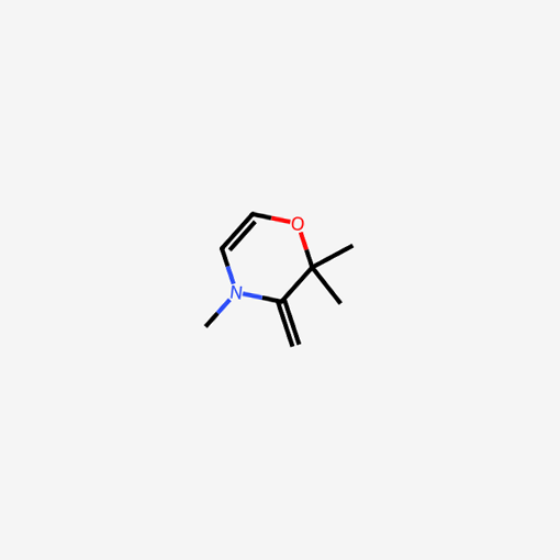 C=C1N(C)C=COC1(C)C